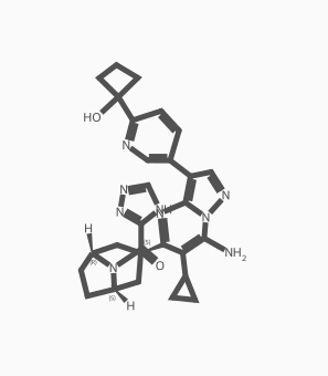 Nc1c(C2CC2)c([C@@H]2C[C@H]3CC[C@@H](C2)N3C(=O)c2nnc[nH]2)nc2c(-c3ccc(C4(O)CCC4)nc3)cnn12